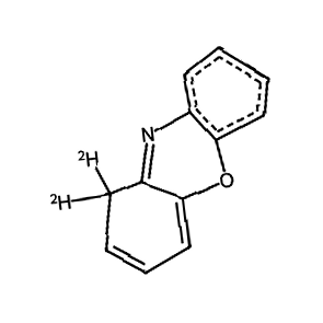 [2H]C1([2H])C=CC=C2Oc3ccccc3N=C21